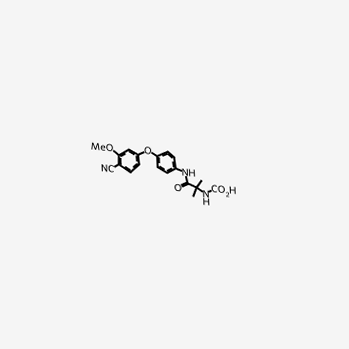 COc1cc(Oc2ccc(NC(=O)C(C)(C)NC(=O)O)cc2)ccc1C#N